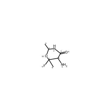 CC1NC(=O)C(N)C(C)(F)O1